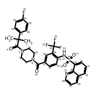 CC(C)(C(=O)N1CCN(C(=O)c2ccc(NS(=O)(=O)c3cccc4cccnc34)c(C(F)(F)F)c2)CC1)c1ccc(F)cc1